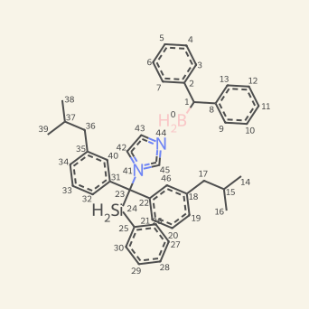 BC(c1ccccc1)c1ccccc1.CC(C)Cc1cccc(C([SiH2]c2ccccc2)(c2cccc(CC(C)C)c2)n2ccnc2)c1